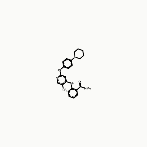 CNC(=O)c1ccccc1Nc1cc(Nc2ccc(N3CCCCC3)cc2)ncc1C(F)(F)F